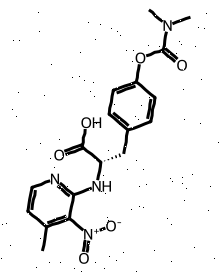 Cc1ccnc(N[C@@H](Cc2ccc(OC(=O)N(C)C)cc2)C(=O)O)c1[N+](=O)[O-]